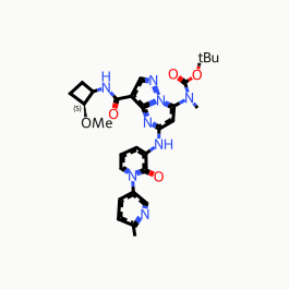 CO[C@H]1CCC1NC(=O)c1cnn2c(N(C)C(=O)OC(C)(C)C)cc(Nc3cccn(-c4ccc(C)nc4)c3=O)nc12